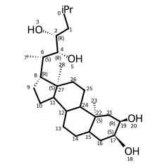 CC(C)C[C@@H](O)[C@H](O)[C@@H](C)[C@H]1CCC2C3CCC4C[C@H](O)[C@H](O)C[C@]4(C)C3CC[C@@]21C